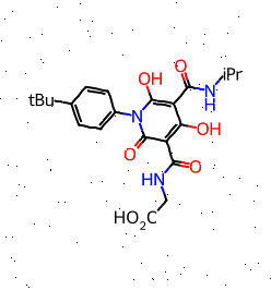 CC(C)NC(=O)c1c(O)c(C(=O)NCC(=O)O)c(=O)n(-c2ccc(C(C)(C)C)cc2)c1O